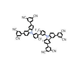 N#Cc1cc(C#N)cc(-c2ccc3c(c2)c2cc(-c4cc(C#N)cc(C#N)c4)ccc2n3-c2ccc(C(F)(F)F)c(-c3cc(-n4c5ccc(-c6cc(C#N)cc(C#N)c6)cc5c5cc(-c6cc(C#N)cc(C#N)c6)ccc54)ccc3C(F)(F)F)c2)c1